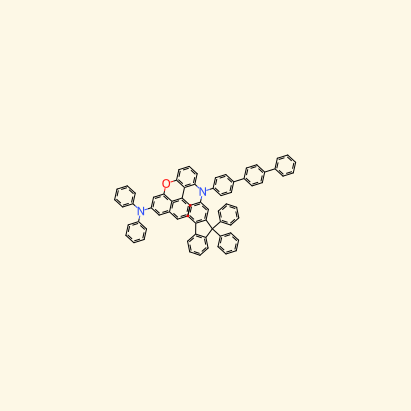 c1ccc(-c2ccc(-c3ccc(N(c4ccc5c(c4)C(c4ccccc4)(c4ccccc4)c4ccccc4-5)c4cccc5c4-c4cccc6cc(N(c7ccccc7)c7ccccc7)cc(c46)O5)cc3)cc2)cc1